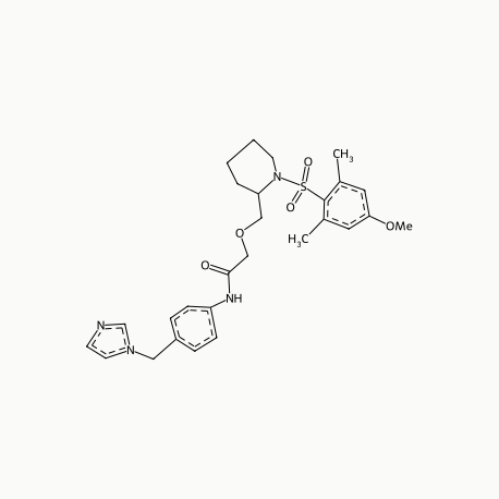 COc1cc(C)c(S(=O)(=O)N2CCCCC2COCC(=O)Nc2ccc(Cn3ccnc3)cc2)c(C)c1